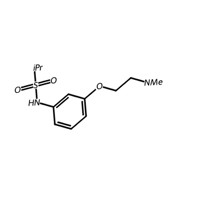 CNCCOc1cccc(NS(=O)(=O)C(C)C)c1